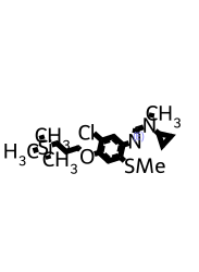 CSc1cc(OCCC[Si](C)(C)C)c(Cl)cc1/N=C/N(C)C1CC1